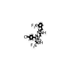 O=c1n(Cc2nnc(Cc3cccc(C(F)(F)F)c3)[nH]2)nc(-c2ccc(Cl)cc2)n1C[C@@H](O)C(F)(F)F